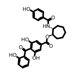 O=C(N[C@@H]1CCCCC[C@H]1OC(=O)c1cc(O)c(C(=O)c2ccccc2O)c(O)c1)c1ccc(O)cc1